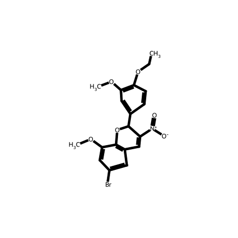 CCOc1ccc(C2Oc3c(cc(Br)cc3OC)C=C2[N+](=O)[O-])cc1OC